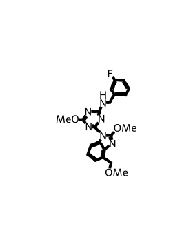 COCc1cccc2c1nc(OC)n2-c1nc(NCc2cccc(F)c2)nc(OC)n1